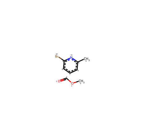 COC=O.Cc1cccc(Br)n1